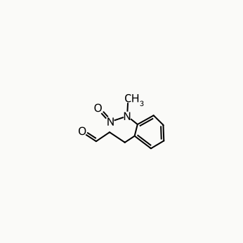 CN(N=O)c1ccccc1CCC=O